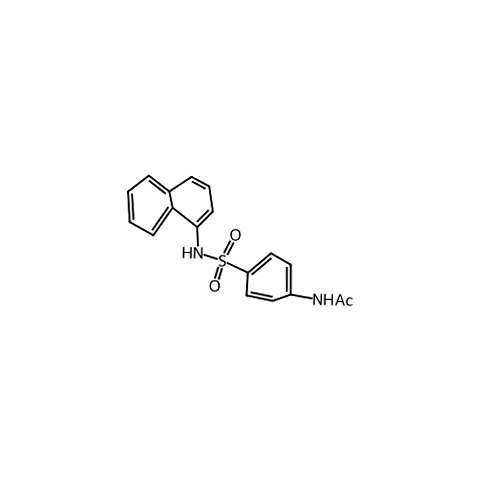 CC(=O)Nc1ccc(S(=O)(=O)Nc2cccc3ccccc23)cc1